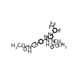 CCOC(=O)CNC1CCN(c2ccc(-c3nc4nc(-c5cc(F)cc(C(F)(F)F)c5)cc(N(C)CC5(COC)CCC5)c4[nH]3)cc2)CC1